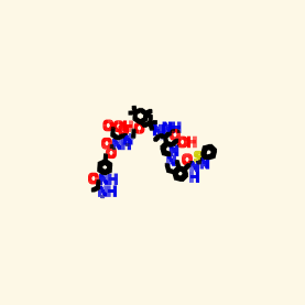 CNC(C)C(=O)Nc1ccc(COC(=O)NC(CC(=O)O)C(=O)N(C)CCOC23CC(C)(C)CC(C)(CC(C)(CN/C(C)=C(\C=N)c4ccc(N5CCc6cccc(C(=O)Nc7nc8ccccc8s7)c6C5)nc4C(=O)O)C2)C3)cc1